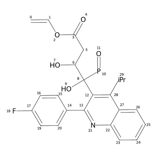 C=COC(=O)CC(O)C(O)(P=O)c1c(-c2ccc(F)cc2)nc2ccccc2c1C(C)C